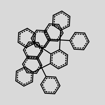 c1ccc(C(c2ccccc2)(c2ccccc2)c2cccc(C(c3ccccc3)(c3ccccc3)c3ccccc3)c2C(c2ccccc2)(c2ccccc2)c2ccccc2)cc1